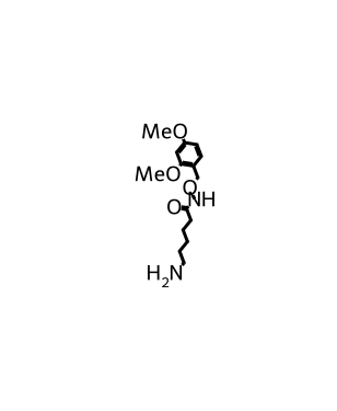 COc1ccc(CONC(=O)CCCCCN)c(OC)c1